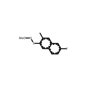 COOSc1cc2ccc(F)cc2cc1C